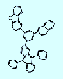 c1ccc(-c2c3ccccc3c(-c3ccccc3)c3cc(-c4cc(-c5ccc6ccccc6c5)cc(-c5ccc6oc7ccccc7c6c5)c4)ccc23)cc1